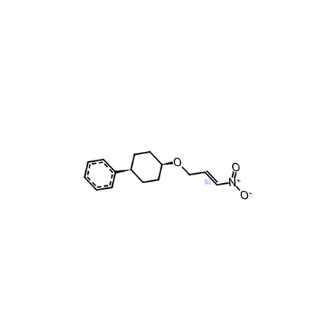 O=[N+]([O-])/C=C/CO[C@H]1CC[C@@H](c2ccccc2)CC1